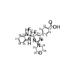 O=C(O)c1ccc(-c2cc(C3(C(F)F)Nc4ccccc4N3)nc(N3CCOCC3)n2)cc1